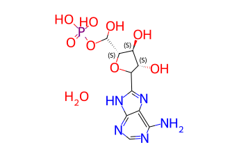 Nc1ncnc2[nH]c(C3O[C@H](C(O)OP(=O)(O)O)[C@@H](O)[C@@H]3O)nc12.O